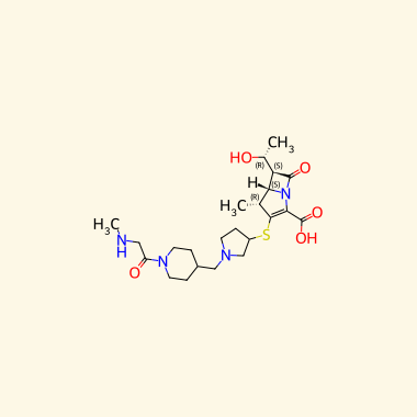 CNCC(=O)N1CCC(CN2CCC(SC3=C(C(=O)O)N4C(=O)[C@H]([C@@H](C)O)[C@H]4[C@H]3C)C2)CC1